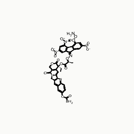 BC(=O)Oc1ccc2nc3c(cc2c1)Cn1c-3cc2c(c1=O)COC(=O)[C@@]2(CC)OC(=O)[C@H](C)O/N=C1/c2cc([N+](=O)[O-])cc(OON)c2-c2c1cc([N+](=O)[O-])cc2[N+](=O)[O-]